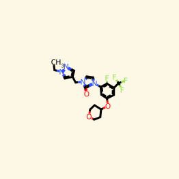 CCn1cc(Cn2ccn(-c3cc(OC4CCOCC4)cc(C(F)(F)F)c3F)c2=O)cn1